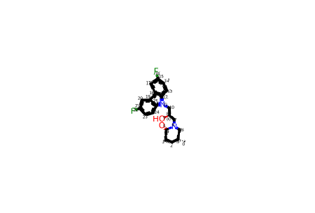 C[C@@H]1CCC(=O)N(C[C@@H](O)Cn2c3ccc(F)cc3c3cc(F)ccc32)C1